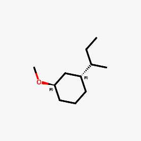 CCC(C)[C@@H]1CCC[C@@H](OC)C1